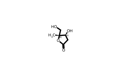 C[C@]1(CO)OC(=O)C[C@@H]1O